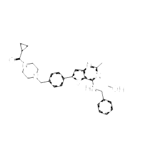 Cc1nc(N[C@H](CO)c2ccccc2)c2sc(-c3ccc(CN4CCN(C(=O)C5CC5)CC4)cc3)cc2n1